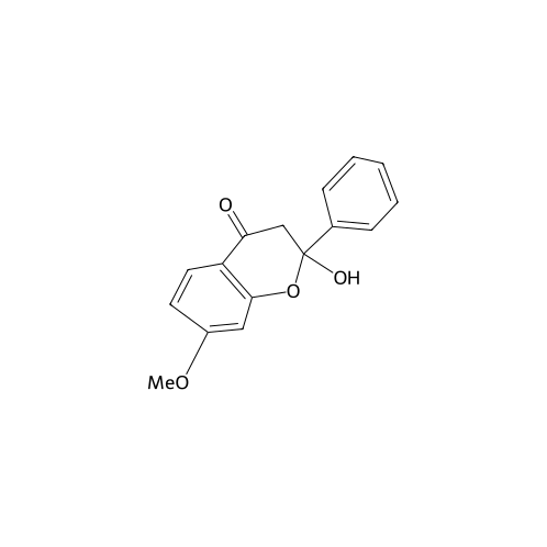 COc1ccc2c(c1)OC(O)(c1ccccc1)CC2=O